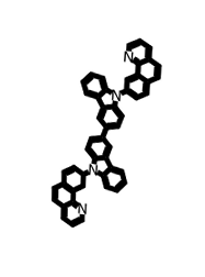 C1=CC(n2c3ccccc3c3cc(-c4ccc5c(c4)c4ccccc4n5-c4ccc5ccc6cccnc6c5c4)ccc32)Cc2c1ccc1cccnc21